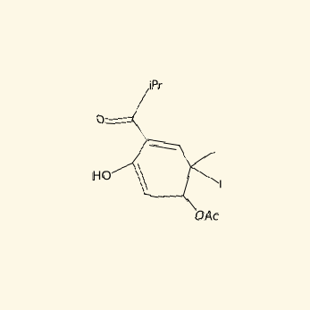 CC(=O)OC1C=C(O)C(C(=O)C(C)C)=CC1(C)I